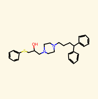 OC(CSc1ccccc1)CN1CCN(CCCC(c2ccccc2)c2ccccc2)CC1